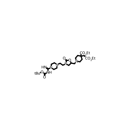 CCOC(=O)CC1(C(=O)OCC)CCN(CC2CN(CCN3CCN(C(=N)NC(=O)OC(C)(C)C)CC3)C(=O)O2)CC1